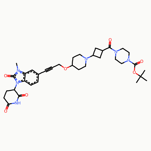 Cn1c(=O)n(C2CCC(=O)NC2=O)c2ccc(C#CCOC3CCN(C4CC(C(=O)N5CCN(C(=O)OC(C)(C)C)CC5)C4)CC3)cc21